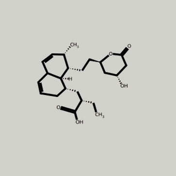 CC[C@@H](C[C@@H]1CC=CC2C=C[C@H](C)[C@H](CC[C@@H]3C[C@@H](O)CC(=O)O3)[C@H]21)C(=O)O